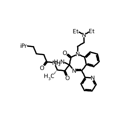 CCN(CC)CCN1C(=O)C(N)(C(=O)[C@H](C)NC(=O)CCCC(C)C)N=C(c2ccccn2)c2ccccc21